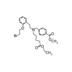 CCOC(=O)CCCCN(CCc1ccccc1OCCBr)Cc1ccc(C(=O)OC)cc1